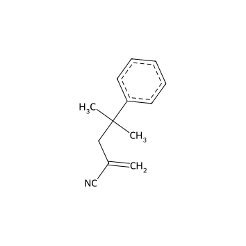 C=C(C#N)CC(C)(C)c1ccccc1